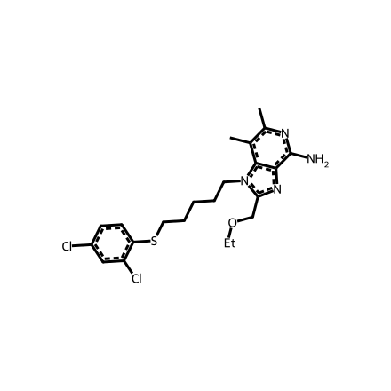 CCOCc1nc2c(N)nc(C)c(C)c2n1CCCCCSc1ccc(Cl)cc1Cl